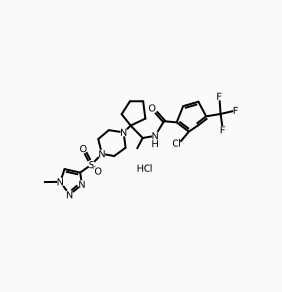 CC(NC(=O)c1ccc(C(F)(F)F)cc1Cl)C1(N2CCN(S(=O)(=O)c3cn(C)nn3)CC2)CCCC1.Cl